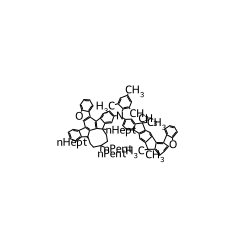 CCCCCCCC12CCC(CCCCC)(CCCCC)CCC3(CCCCCCC)c4cc(N(c5ccc6c(c5)C(C)(C)c5cc7c(cc5-6)C(C)(C)c5ccc6oc8ccccc8c6c5-7)c5c(C)cc(C)cc5C)ccc4-c4c3c1c(c1oc3ccccc3c41)-c1ccccc12